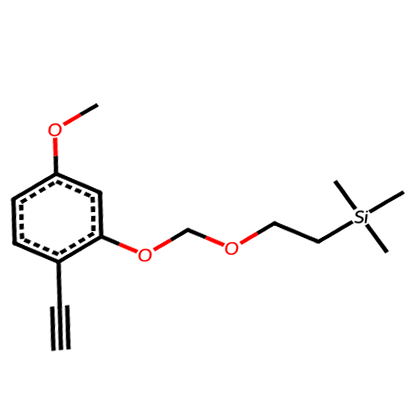 C#Cc1ccc(OC)cc1OCOCC[Si](C)(C)C